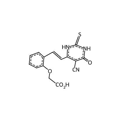 N#Cc1c(/C=C/c2ccccc2OCC(=O)O)[nH]c(=S)[nH]c1=O